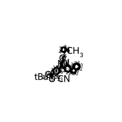 CN1CCC[C@H]1COc1nc2c(c(N3CCN(C(=O)OC(C)(C)C)[C@@H](CC#N)C3)n1)CCC1(CCc3ccccc31)C2